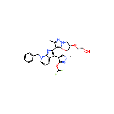 Cc1nn2c(c1-c1nc3n(Cc4ccccc4)cccc-3c1-c1cn(C)nc1OC(F)F)OCC(OCCO)C2